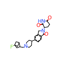 O=C1CCC(N2Cc3cc(C4CCN(CC5CC6(F)CC5C6)CC4)ccc3C2=O)C(=O)N1